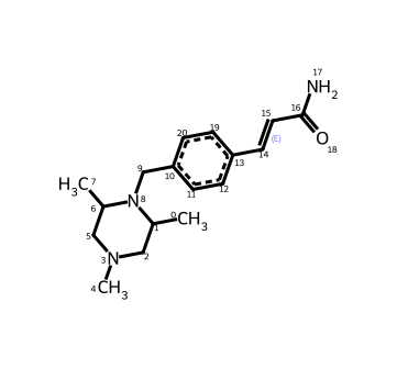 CC1CN(C)CC(C)N1Cc1ccc(/C=C/C(N)=O)cc1